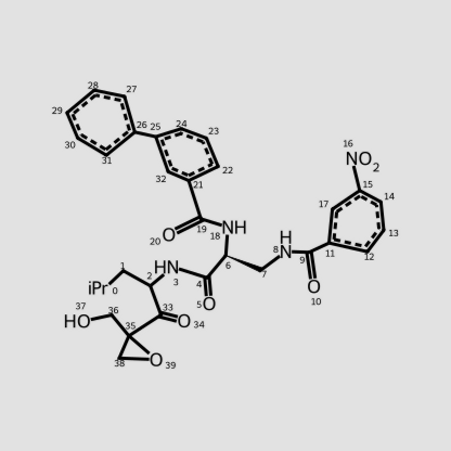 CC(C)CC(NC(=O)[C@H](CNC(=O)c1cccc([N+](=O)[O-])c1)NC(=O)c1cccc(-c2ccccc2)c1)C(=O)C1(CO)CO1